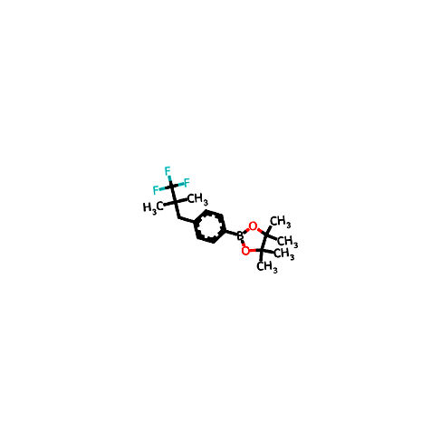 CC(C)(Cc1ccc(B2OC(C)(C)C(C)(C)O2)cc1)C(F)(F)F